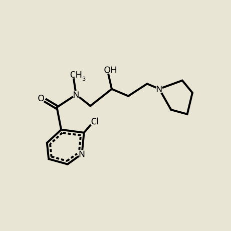 CN(CC(O)CCN1CCCC1)C(=O)c1cccnc1Cl